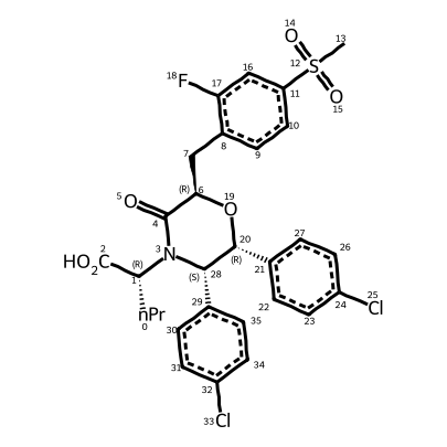 CCC[C@H](C(=O)O)N1C(=O)[C@@H](Cc2ccc(S(C)(=O)=O)cc2F)O[C@H](c2ccc(Cl)cc2)[C@@H]1c1ccc(Cl)cc1